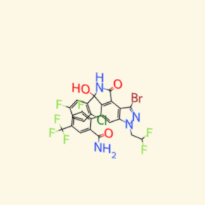 NC(=O)c1cc(C(F)(F)F)cc(F)c1-c1cc2c(c(Br)nn2CC(F)F)c2c1C(O)(c1cc(F)ccc1Cl)NC2=O